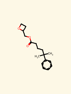 CC(C)(CCCC(=O)OCC1CCO1)c1ccccc1